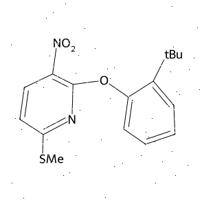 CSc1ccc([N+](=O)[O-])c(Oc2ccccc2C(C)(C)C)n1